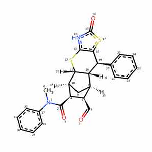 CN(C(=O)[C@@H]1[C@H](C=O)[C@H]2C[C@@H]1[C@@H]1Sc3[nH]c(=O)sc3[C@@H](c3ccccc3)[C@H]21)c1ccccc1